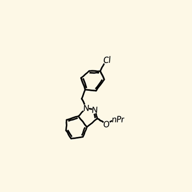 CCCOc1nn(Cc2ccc(Cl)cc2)c2ccccc12